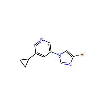 Brc1cn(-c2cncc(C3CC3)c2)cn1